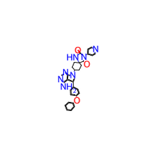 Nc1ncnc2c1c(-c1ccc(Oc3ccccc3)cc1)cn2C1CCC2(CC1)NC(=O)N(c1ccncc1)C2=O